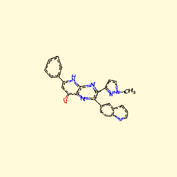 Cn1ccc(-c2nc3[nH]c(-c4ccccc4)cc(=O)c3nc2-c2ccc3ncccc3c2)n1